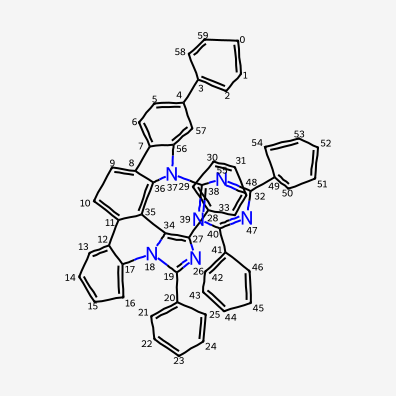 c1ccc(-c2ccc3c4ccc5c6ccccc6n6c(-c7ccccc7)nc(-c7ccccc7)c6c5c4n(-c4nc(-c5ccccc5)nc(-c5ccccc5)n4)c3c2)cc1